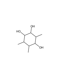 CC1C(C)C(O)C(O)C(C)C1O